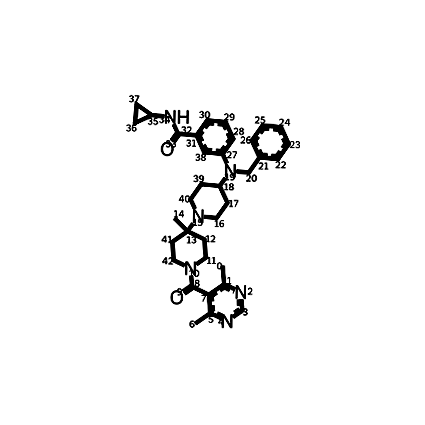 Cc1ncnc(C)c1C(=O)N1CCC(C)(N2CCC(N(Cc3ccccc3)c3cccc(C(=O)NC4CC4)c3)CC2)CC1